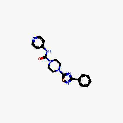 O=C(Nc1ccncc1)N1CCN(c2nc(-c3ccccc3)ns2)CC1